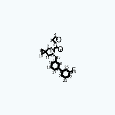 O=C([C@H]1CCO1)N1CC2(CC2)C[C@@H]1Cc1cccc(-c2cccc(F)c2)c1